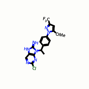 COc1cc(C(F)(F)F)nn1-c1ccc(C(C)n2c(=N)[nH]c3cnc(Cl)nc32)cc1